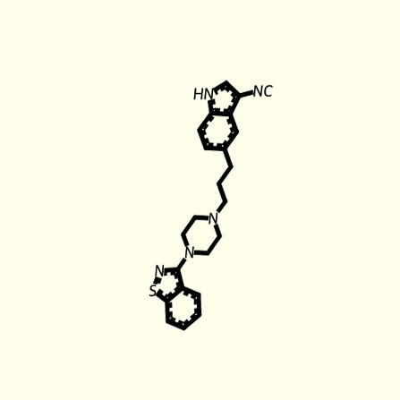 [C-]#[N+]c1c[nH]c2ccc(CCCN3CCN(c4nsc5ccccc45)CC3)cc12